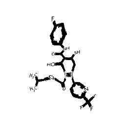 CC(C)COC(=O)N1C(O)C(C(=O)Nc2ccc(F)cc2)=C(S)CN1c1ccc(C(F)(F)F)nc1